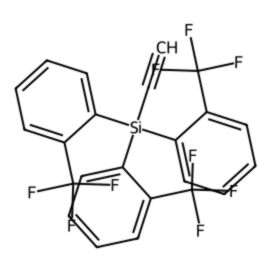 C#C[Si](c1ccccc1C(F)(F)F)(c1ccccc1C(F)(F)F)c1ccccc1C(F)(F)F